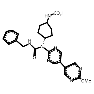 COc1ncc(-c2cnc(N(C(=O)NCc3ccccc3)[C@H]3CC[C@H](NC(=O)O)CC3)nc2)cn1